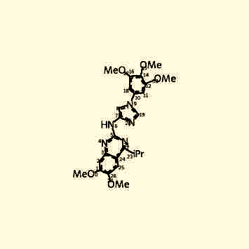 COc1cc2nc(Nc3cn(-c4cc(OC)c(OC)c(OC)c4)cn3)nc(C(C)C)c2cc1OC